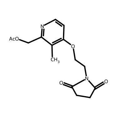 CC(=O)OCc1nccc(OCCN2C(=O)CCC2=O)c1C